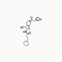 N#CC1C2=C(CN(C(=O)Cn3ccnc3)CC2)SC1NC(=O)CCC1CCCCC1